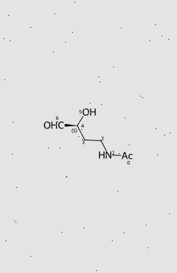 CC(=O)NCC[C@H](O)C=O